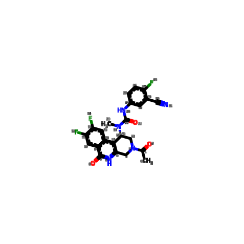 CC(=O)N1Cc2[nH]c(=O)c3cc(F)c(F)cc3c2[C@H](N(C)C(=O)Nc2ccc(F)c(C#N)c2)C1